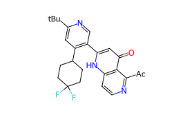 CC(=O)c1nccc2[nH]c(-c3cnc(C(C)(C)C)cc3C3CCC(F)(F)CC3)cc(=O)c12